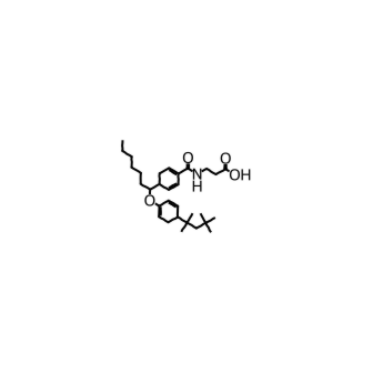 CCCCCCC(OC1=CCC(C(C)(C)CC(C)(C)C)C=C1)C1C=CC(C(=O)NCCC(=O)O)=CC1